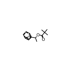 CC(OC(=O)C(C)(C)C)c1cc2ccc1o2